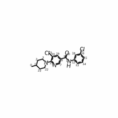 CC1CCN(c2ncc(C(=O)Nc3cccc(Cl)c3)cc2Cl)CC1